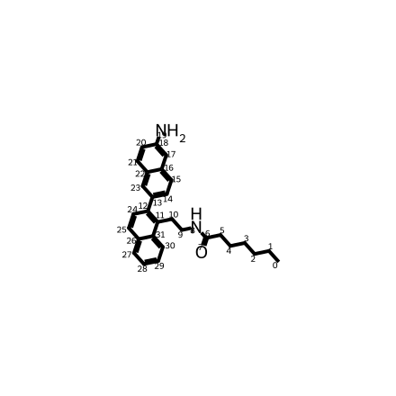 CCCCCCC(=O)NCCc1c(-c2ccc3cc(N)ccc3c2)ccc2ccccc12